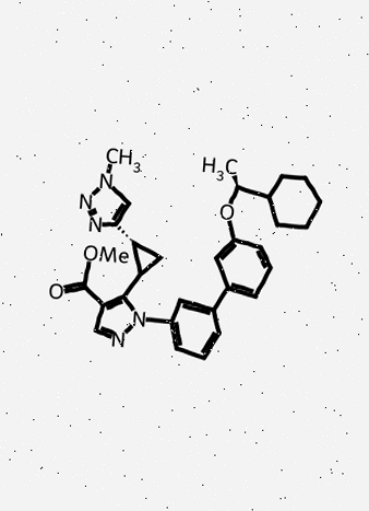 COC(=O)c1cnn(-c2cccc(-c3cccc(O[C@@H](C)C4CCCCC4)c3)c2)c1C1C[C@H]1c1cn(C)nn1